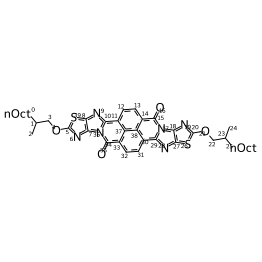 CCCCCCCCC(C)COc1nc2c(nc3c4ccc5c(=O)n6c7nc(OCC(C)CCCCCCCC)sc7nc6c6ccc(c(=O)n23)c4c56)s1